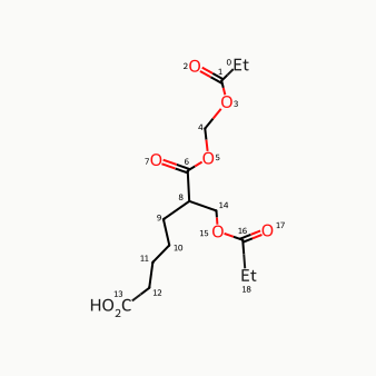 CCC(=O)OCOC(=O)C(CCCCC(=O)O)COC(=O)CC